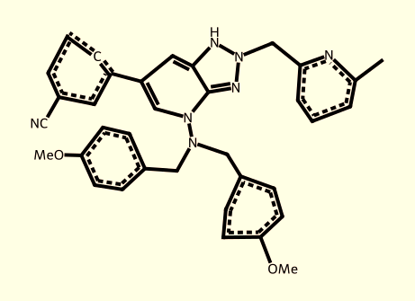 COc1ccc(CN(Cc2ccc(OC)cc2)N2C=C(c3cccc(C#N)c3)C=C3NN(Cc4cccc(C)n4)N=C32)cc1